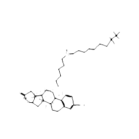 CN(CCCCCCCC(F)(F)C(F)(F)F)CCCCCC[C@H]1C[C@@]2(C)[C@@H](CC3OC(=O)C[C@@]32O)[C@@H]2CCc3cc(O)ccc3[C@@H]12